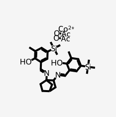 CC(=O)[O-].CC(=O)[O-].Cc1cc([Si](C)(C)C)cc(C=NC2CC3CCC2(N=Cc2cc([Si](C)(C)C)cc(C)c2O)C3)c1O.[Co+2]